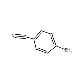 Bc1ccc(C#N)cn1